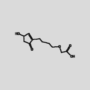 O=C(O)COCCCCC1=CC(O)CC1=O